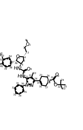 COCC[C@@H]1C[C@@H](NC(=O)Nc2c(C)c(C3=CCN(C(=O)OC(C)(C)C)CC3)nn2-c2ccccc2)[C@H](c2ccc(F)c(F)c2)O1